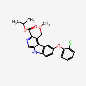 COCc1c(C(=O)OC(C)C)ncc2[nH]c3ccc(Oc4ccccc4Cl)cc3c12